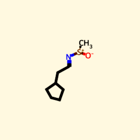 C[S@@+]([O-])/N=C/CC1CCCC1